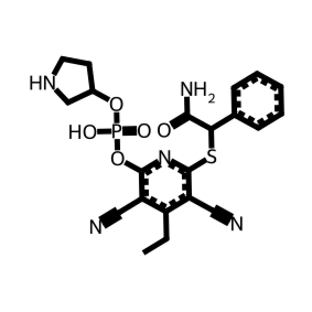 CCc1c(C#N)c(OP(=O)(O)OC2CCNC2)nc(SC(C(N)=O)c2ccccc2)c1C#N